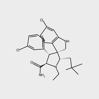 CCN1[C@@H](CC(C)(C)C)[C@@]2(CNc3cc(Cl)ccc32)[C@@H](c2cccc(Cl)c2)[C@@H]1C(N)=O